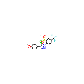 CCS(=O)(=O)c1cc(C(F)(F)F)ccc1-n1ncc(-c2ccc(OC)cc2)c1Cl